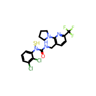 O=C(NCc1ccc(C(F)(F)F)nc1N1CCCC1)N(S)c1cccc(Cl)c1Cl